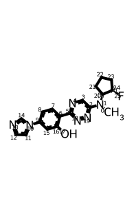 CN(c1cnc(-c2ccc(-n3ccnc3)cc2O)nn1)[C@H]1CCC[C@H]1F